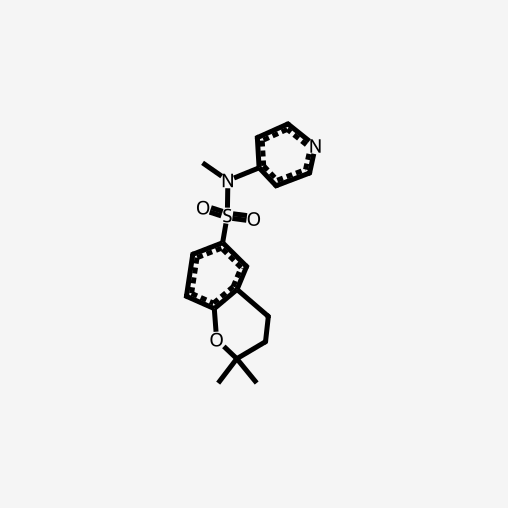 CN(c1ccncc1)S(=O)(=O)c1ccc2c(c1)CCC(C)(C)O2